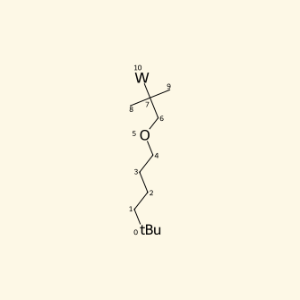 CC(C)(C)CCCCOC[C](C)(C)[W]